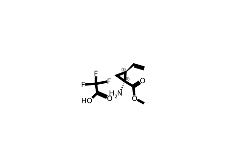 C=C[C@@H]1C[C@]1(N)C(=O)OC.O=C(O)C(F)(F)F